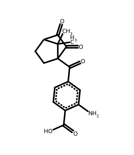 CC1(C)C2CCC1(C(=O)c1ccc(C(=O)O)c(N)c1)C(=O)C2=O